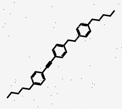 CCCCCc1ccc(C#Cc2ccc(CCc3ccc(CCCCC)cc3)cc2)cc1